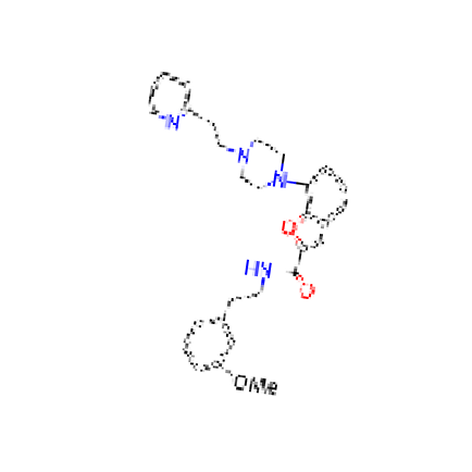 COc1cccc(CCNC(=O)c2cc3cccc(N4CCN(CCc5ccccn5)CC4)c3o2)c1